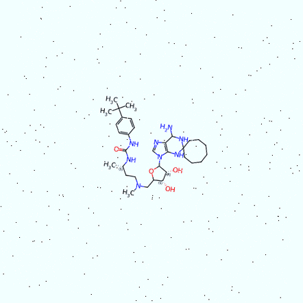 C[C@@H](CCN(C)CC1OC(n2cnc3c2NC2(CCCCCCC2)NC3N)[C@H](O)[C@@H]1O)NC(=O)Nc1ccc(C(C)(C)C)cc1